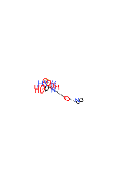 CS(=O)(=O)Nc1cc(C(O)CNCCCCCCOCCCCc2ccc3ccccc3n2)ccc1O